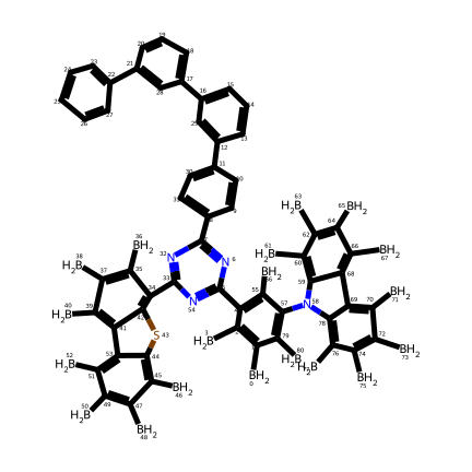 Bc1c(B)c(-c2nc(-c3ccc(-c4cccc(-c5cccc(-c6ccccc6)c5)c4)cc3)nc(-c3c(B)c(B)c(B)c4c3sc3c(B)c(B)c(B)c(B)c34)n2)c(B)c(-n2c3c(B)c(B)c(B)c(B)c3c3c(B)c(B)c(B)c(B)c32)c1B